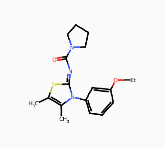 CCOc1cccc(-n2c(C)c(C)s/c2=N\C(=O)N2CCCC2)c1